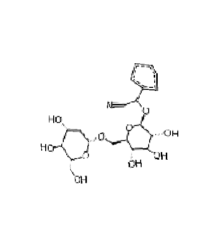 N#CC(O[C@@H]1O[C@H](CO[C@H]2C[C@@H](O)[C@H](O)[C@@H](CO)O2)[C@@H](O)C(O)[C@H]1O)c1ccccc1